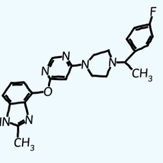 Cc1nc2c(Oc3cc(N4CCN(C(C)c5ccc(F)cc5)CC4)ncn3)cccc2[nH]1